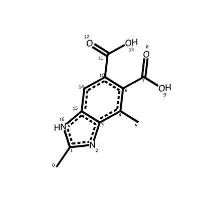 Cc1nc2c(C)c(C(=O)O)c(C(=O)O)cc2[nH]1